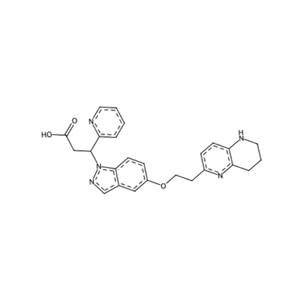 O=C(O)CC(c1ccccn1)n1ncc2cc(OCCc3ccc4c(n3)CCCN4)ccc21